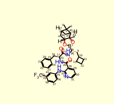 CC1(C)[C@@H]2C[C@H]3OB([C@H](CC4CCC4)NC(=O)[C@H](Cc4ccccc4)NC(=O)c4cccnc4Nc4cccc(C(F)(F)F)c4)O[C@@]3(C)[C@H]1C2